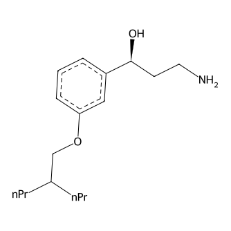 CCCC(CCC)COc1cccc([C@@H](O)CCN)c1